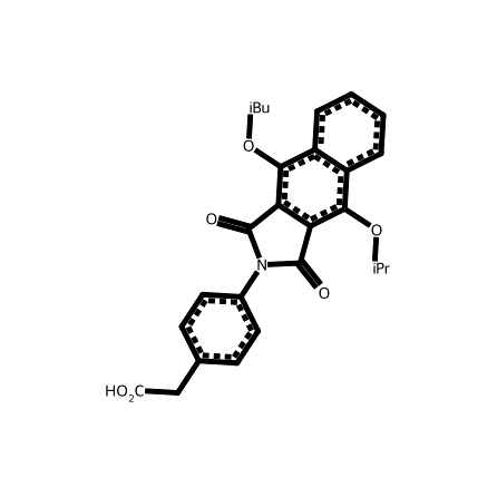 CCC(C)Oc1c2c(c(OC(C)C)c3ccccc13)C(=O)N(c1ccc(CC(=O)O)cc1)C2=O